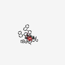 CCC1=Cc2c(-c3cccc4ccccc34)cccc2[CH]1[Zr]([CH3])([CH3])(=[SiH2])([O]c1ccc(C)cc1C(C)(C)C)([O]c1ccc(C)cc1C(C)(C)C)[CH]1C(CC)=Cc2c(-c3cccc4ccccc34)cccc21